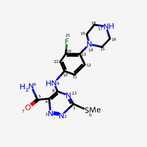 CSc1nnc(C(N)=O)c(Nc2ccc(N3CCNCC3)c(F)c2)n1